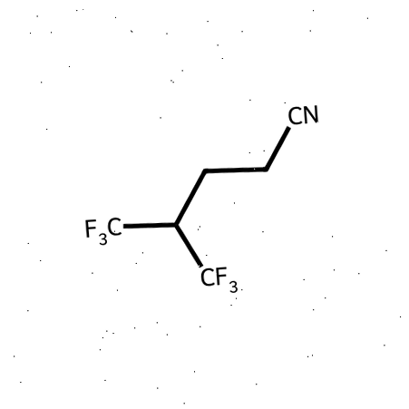 N#CCCC(C(F)(F)F)C(F)(F)F